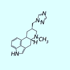 CN1C[C@H](Cn2cncn2)CC2c3cccc4[nH]cc(c34)C[C@H]21